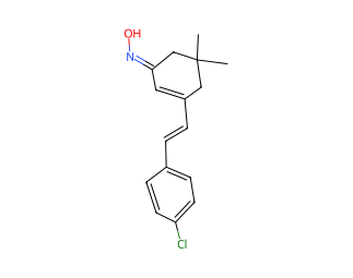 CC1(C)CC(C=Cc2ccc(Cl)cc2)=CC(=NO)C1